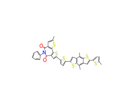 Cc1ccc(-c2cc3c(C)c4sc(-c5ccc(-c6cc7c(=O)n(-c8ccccc8)c(=O)c8cc(C)sc8c7s6)s5)cc4c(C)c3s2)s1